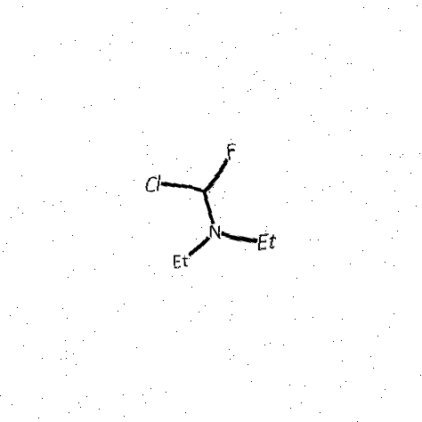 CCN(CC)[C](F)Cl